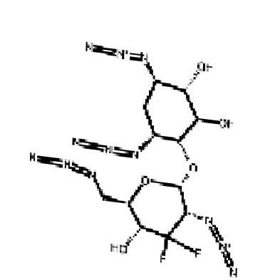 [N-]=[N+]=NC[C@H]1O[C@H](O[C@H]2[C@H](O)[C@@H](O)[C@H](N=[N+]=[N-])C[C@@H]2N=[N+]=[N-])[C@H](N=[N+]=[N-])C(F)(F)[C@@H]1O